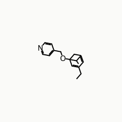 CCC1=CC2(OCc3ccncc3)CC(=C1)C2C